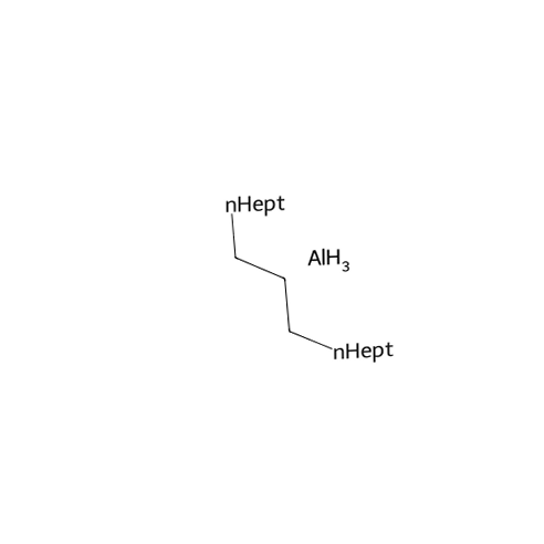 CCCCCCCCCCCCCCCCC.[AlH3]